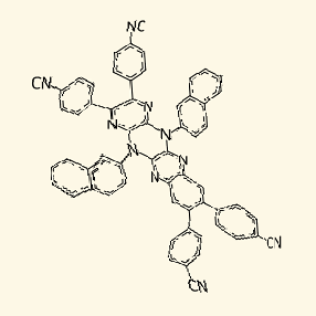 [C-]#[N+]c1ccc(-c2nc3c(nc2-c2ccc([N+]#[C-])cc2)N(c2ccc4ccccc4c2)c2nc4cc(-c5ccc(C#N)cc5)c(-c5ccc(C#N)cc5)cc4nc2N3c2ccc3ccccc3c2)cc1